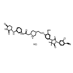 CCc1cc(N2C(=S)N(c3ccc(C#N)c(Cl)c3)C(=O)C2(C)C)ccc1OCCN1CCN(CC(=O)Nc2cccc(NC3CCC(=O)NC3=O)c2)[C@H](C)C1.Cl